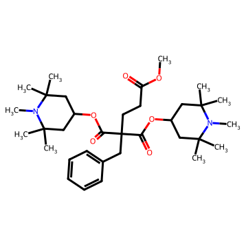 COC(=O)CCC(Cc1ccccc1)(C(=O)OC1CC(C)(C)N(C)C(C)(C)C1)C(=O)OC1CC(C)(C)N(C)C(C)(C)C1